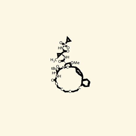 CO[C@@]12C[C@@H](C(=O)N[C@]3(C(=O)NS(=O)(=O)C4CC4)C[C@H]3C)N(C1)C(=O)[C@H](C(C)(C)C)NC(=O)OCCCCCCCc1ccccc1-c1ccc2cc1